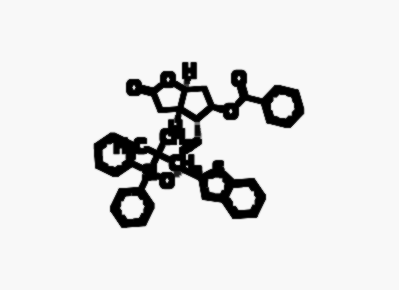 CC(C)(C)[Si](O[C@H](C=C[C@@H]1[C@H]2CC(=O)O[C@H]2C[C@H]1OC(=O)c1ccccc1)c1cc2ccccc2s1)(c1ccccc1)c1ccccc1